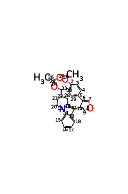 COc1ccc(-c2cocc2-c2c3n(c4ccccc24)CCC(COC(C)=O)C3)cc1